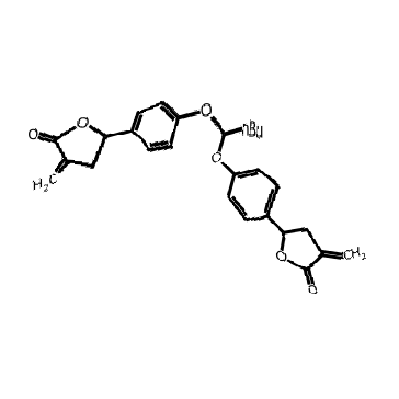 C=C1CC(c2ccc(OC(CCCC)Oc3ccc(C4CC(=C)C(=O)O4)cc3)cc2)OC1=O